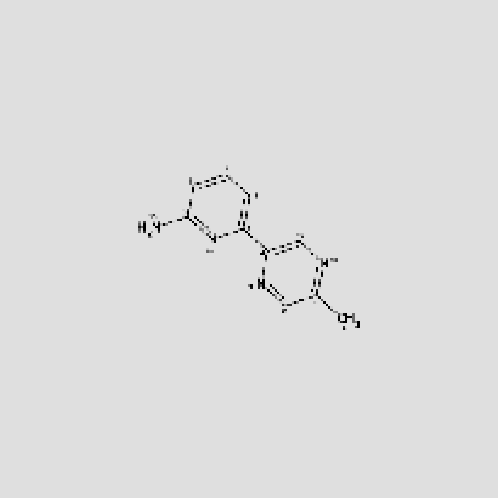 Cc1cnc(-c2cccc(N)n2)cn1